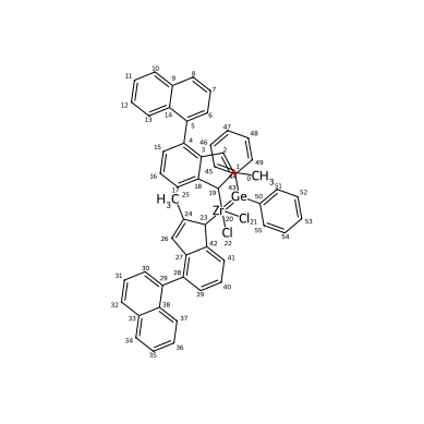 CC1=Cc2c(-c3cccc4ccccc34)cccc2[CH]1[Zr]([Cl])([Cl])([CH]1C(C)=Cc2c(-c3cccc4ccccc34)cccc21)=[Ge]([c]1ccccc1)[c]1ccccc1